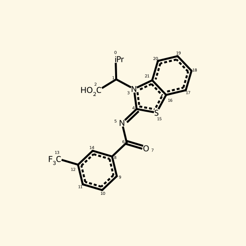 CC(C)C(C(=O)O)n1c(=NC(=O)c2cccc(C(F)(F)F)c2)sc2ccccc21